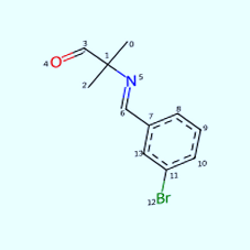 CC(C)([C]=O)N=Cc1cccc(Br)c1